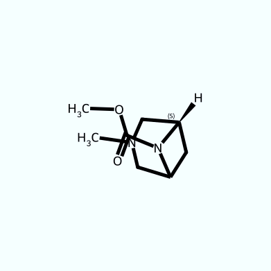 COC(=O)N1C2C[C@H]1CN(C)C2